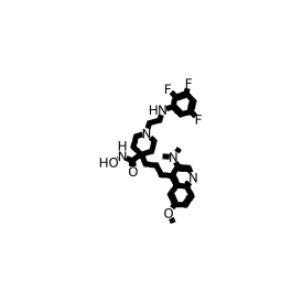 COc1ccc2ncc(N(C)C)c(CCCC3(C(=O)NO)CCN(CCNc4cc(F)cc(F)c4F)CC3)c2c1